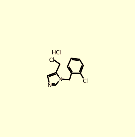 Cl.ClCc1cncn1Cc1ccccc1Cl